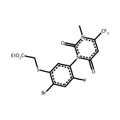 CCOC(=O)CSc1cc(-n2c(=O)cc(C(F)(F)F)n(C)c2=O)c(F)cc1Br